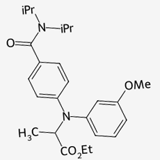 CCOC(=O)C(C)N(c1ccc(C(=O)N(C(C)C)C(C)C)cc1)c1cccc(OC)c1